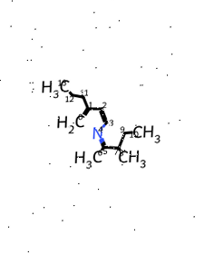 C=C(/C=C\N=C(\C)C(C)CC)CCC